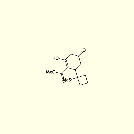 COC(=O)C1=C(O)CC(=O)CC1C1(SC)CCC1